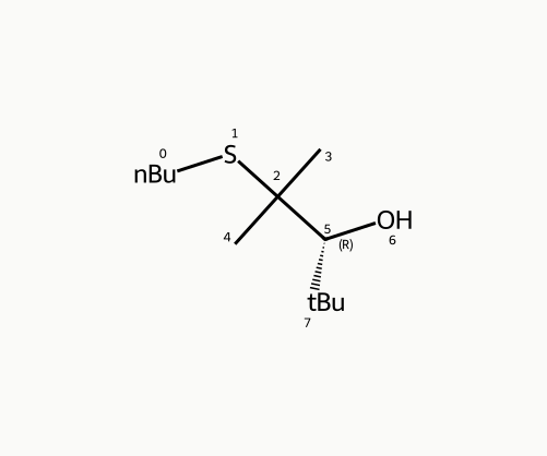 CCCCSC(C)(C)[C@H](O)C(C)(C)C